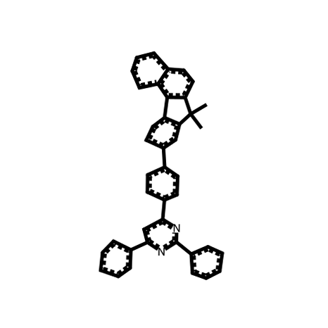 CC1(C)c2cc(-c3ccc(-c4cc(-c5ccccc5)nc(-c5ccccc5)n4)cc3)ccc2-c2c1ccc1ccccc21